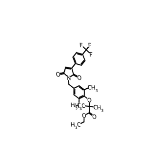 CCOC(=O)C(C)(C)Oc1c(C)cc(CN2C(=O)C=C(c3ccc(C(F)(F)F)cc3)C2=O)cc1C